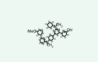 COc1cncc(-c2ccnc(N(C)c3ccc(-c4cc(-c5cccc(O)n5)nc(N(C)c5ccccc5)n4)cc3)n2)c1